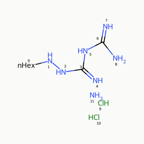 CCCCCCNNC(=N)NC(=N)N.Cl.Cl.N